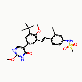 COc1ncc(-c2cc(/C=C/c3ccc(NS(C)(=O)=O)cc3C)c(OC)c(C(C)(C)C)c2)c(=O)[nH]1